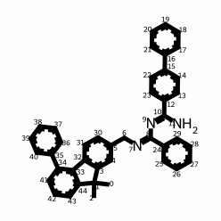 CC1(C)c2cc(C/N=C(\N=C(/N)c3ccc(-c4ccccc4)cc3)c3ccccc3)ccc2-c2c(-c3ccccc3)cccc21